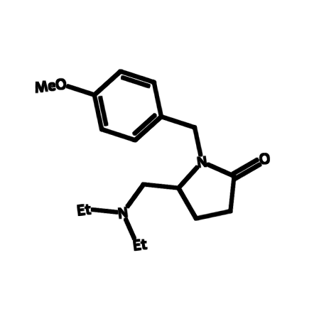 CCN(CC)CC1CCC(=O)N1Cc1ccc(OC)cc1